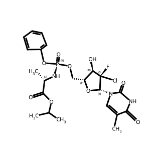 Cc1cn([C@@H]2O[C@H](CO[P@](=O)(N[C@@H](C)C(=O)OC(C)C)Oc3ccccc3)[C@@H](O)[C@]2(F)Cl)c(=O)[nH]c1=O